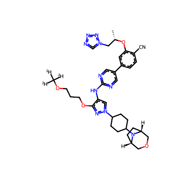 [2H]C([2H])([2H])OCCCOc1nn(C2CCC(N3[C@@H]4CC[C@H]3COC4)CC2)cc1Nc1ncc(-c2ccc(C#N)c(O[C@@H](C)Cn3cnnn3)c2)cn1